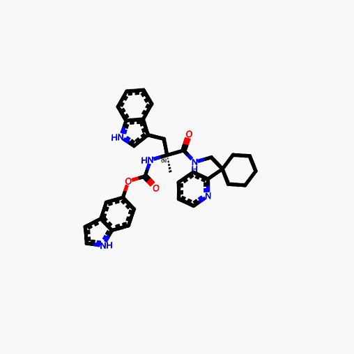 C[C@@](Cc1c[nH]c2ccccc12)(NC(=O)Oc1ccc2[nH]ccc2c1)C(=O)NCC1(c2ccccn2)CCCCC1